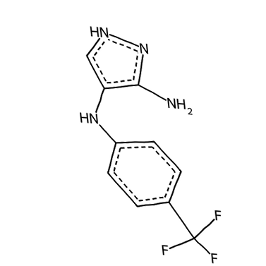 Nc1n[nH]cc1Nc1ccc(C(F)(F)F)cc1